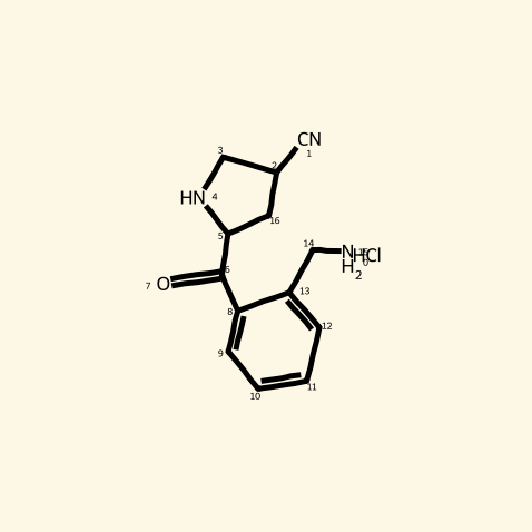 Cl.N#CC1CNC(C(=O)c2ccccc2CN)C1